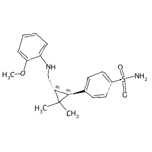 COc1ccccc1NC[C@@H]1[C@@H](c2ccc(S(N)(=O)=O)cc2)C1(C)C